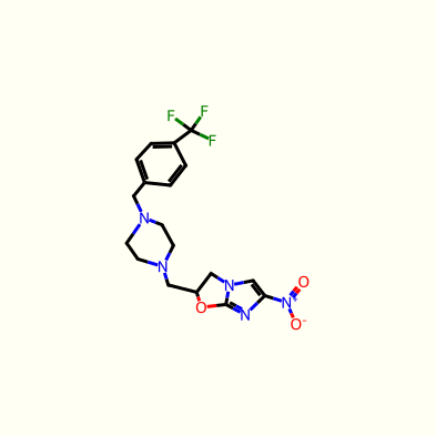 O=[N+]([O-])c1cn2c(n1)OC(CN1CCN(Cc3ccc(C(F)(F)F)cc3)CC1)C2